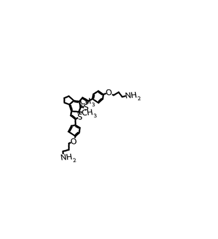 C[C@@]12SC(c3ccc(OCCCN)cc3)=CC1=C1CCCC1=C1C=C(c3ccc(OCCCN)cc3)S[C@]12C